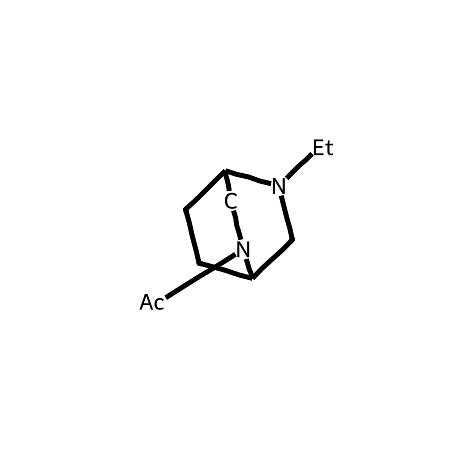 CCN1CC2CCC1CN2C(C)=O